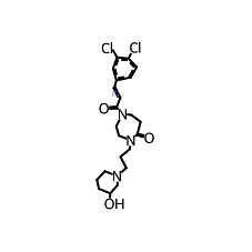 O=C(/C=C/c1ccc(Cl)c(Cl)c1)N1CCC(=O)N(CCCN2CCCC(O)C2)CC1